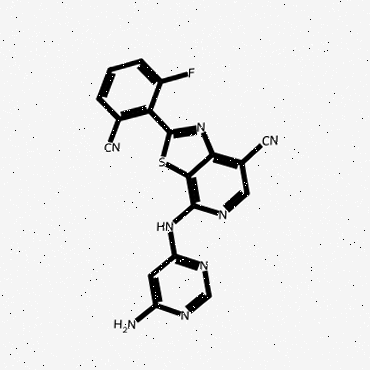 N#Cc1cccc(F)c1-c1nc2c(C#N)cnc(Nc3cc(N)ncn3)c2s1